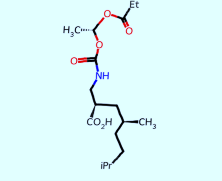 CCC(=O)O[C@@H](C)OC(=O)NC[C@@H](C[C@@H](C)CCC(C)C)C(=O)O